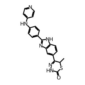 CC1SC(=O)NN=C1c1ccc2[nH]c(-c3ccc(Nc4ccncc4)cc3)nc2c1